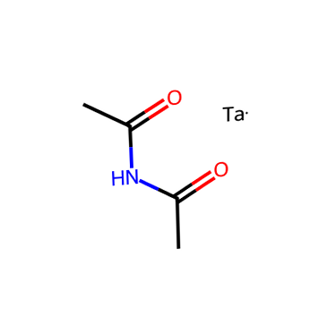 CC(=O)NC(C)=O.[Ta]